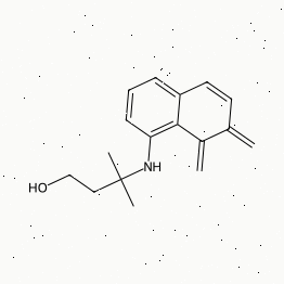 C=c1ccc2cccc(NC(C)(C)CCO)c2c1=C